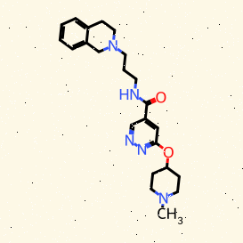 CN1CCC(Oc2cc(C(=O)NCCCN3CCc4ccccc4C3)cnn2)CC1